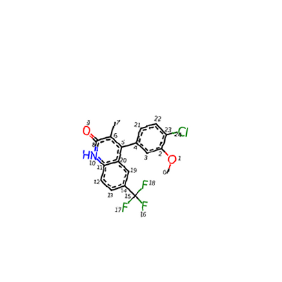 COc1cc(-c2c(C)c(=O)[nH]c3ccc(C(F)(F)F)cc23)ccc1Cl